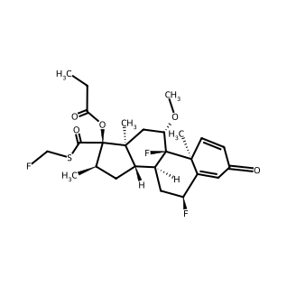 CCC(=O)O[C@]1(C(=O)SCF)[C@H](C)C[C@H]2[C@@H]3C[C@H](F)C4=CC(=O)C=C[C@]4(C)[C@@]3(F)[C@@H](OC)C[C@@]21C